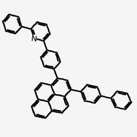 c1ccc(-c2ccc(-c3cc(-c4ccc(-c5cccc(-c6ccccc6)n5)cc4)c4ccc5cccc6ccc3c4c65)cc2)cc1